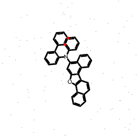 c1ccc(-c2ccccc2N(c2ccccc2)c2cc3oc4c5ccccc5ccc4c3c3ccccc23)cc1